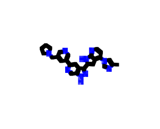 Cc1cn(-c2ccnc3[nH]c(-c4n[nH]c5cnc(-c6cncc(CN7CCCC7)c6)cc45)cc23)cn1